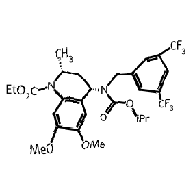 CCOC(=O)N1c2cc(OC)c(OC)cc2[C@@H](N(Cc2cc(C(F)(F)F)cc(C(F)(F)F)c2)C(=O)OC(C)C)C[C@H]1C